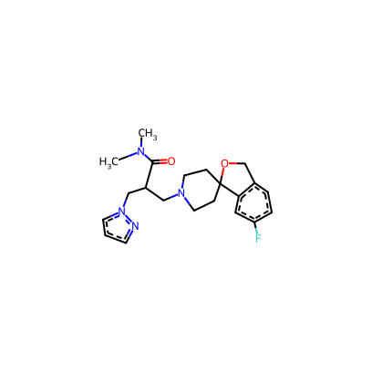 CN(C)C(=O)C(CN1CCC2(CC1)OCc1ccc(F)cc12)Cn1cccn1